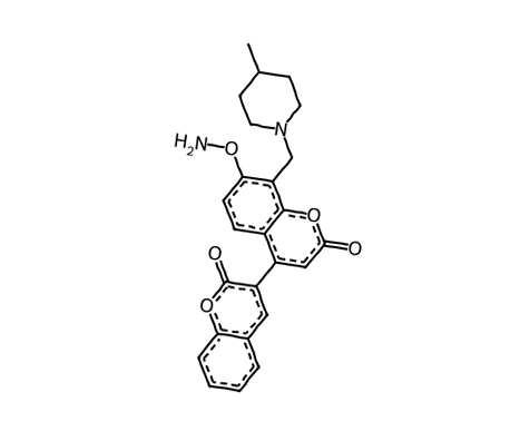 CC1CCN(Cc2c(ON)ccc3c(-c4cc5ccccc5oc4=O)cc(=O)oc23)CC1